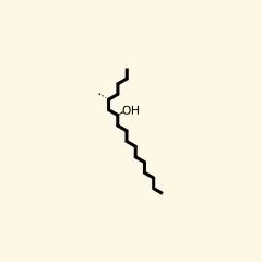 CCCCCCCCCC[C@@H](O)C[C@H](C)CCCC